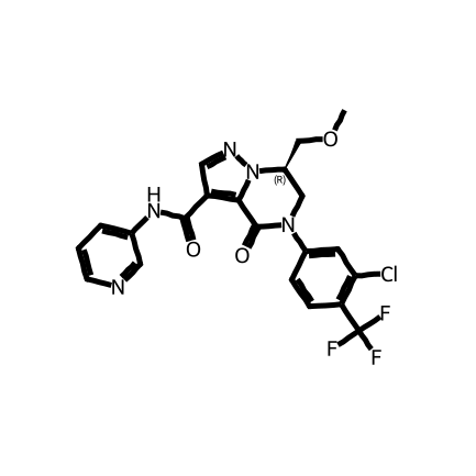 COC[C@H]1CN(c2ccc(C(F)(F)F)c(Cl)c2)C(=O)c2c(C(=O)Nc3cccnc3)cnn21